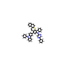 C1=Cc2c(ccc3ccccc23)Sc2c1c(-c1ccc3c(c1)c1ccccc1n3-c1ccccc1)cc1c2c2ccccc2n1-c1cnc(-c2ccccc2)cn1